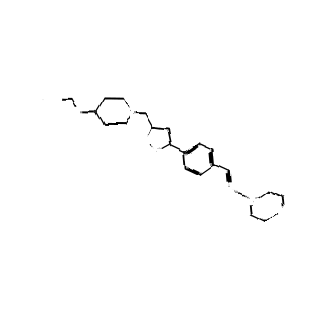 O=C(O)COC1CCN(CC2CC(c3ccc(C=NN4CCSCC4)cc3)NO2)CC1